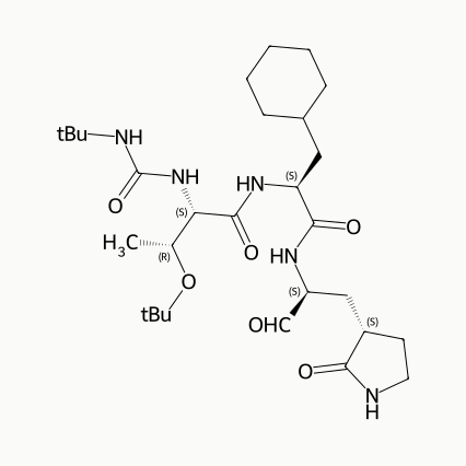 C[C@@H](OC(C)(C)C)[C@H](NC(=O)NC(C)(C)C)C(=O)N[C@@H](CC1CCCCC1)C(=O)N[C@H](C=O)C[C@@H]1CCNC1=O